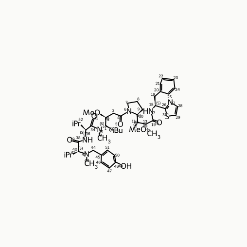 CC[C@H](C)[C@@H]([C@H](CC(=O)N1CCC[C@H]1[C@H](OC)[C@@H](C)C(=O)N[C@@H](Cc1ccccc1)c1nccs1)OC)N(C)C(=O)[C@@H](NC(=O)[C@H](C(C)C)N(C)Cc1ccc(O)cc1)C(C)C